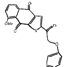 COc1cccc2c1C(=O)c1sc(C(=O)COc3ccccc3)cc1C2=O